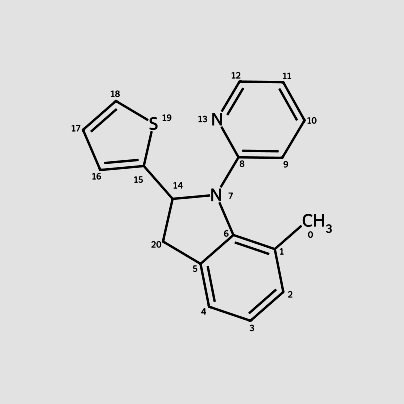 Cc1cccc2c1N(c1ccccn1)C(c1cccs1)C2